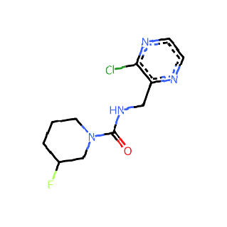 O=C(NCc1nccnc1Cl)N1CCCC(F)C1